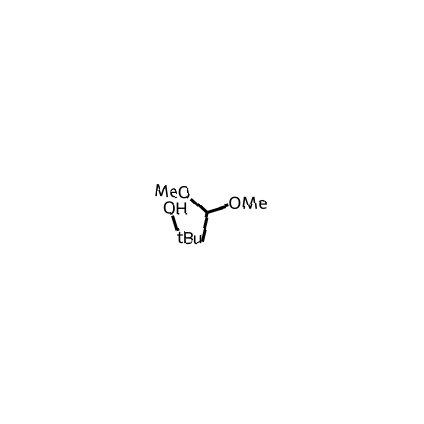 CC(C)(C)O.COC(C)OC